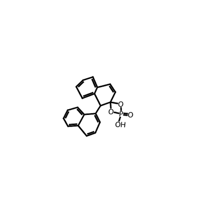 O=P1(O)OC2(C=Cc3ccccc3C2c2cccc3ccccc23)O1